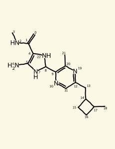 C=C(NC)C1=C(N)NC(c2ncc(CC3CCC3C)nc2C)N1